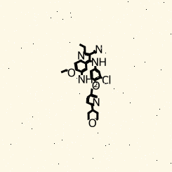 CCOc1cc2nc(CC)c(C#N)c(Nc3ccc(OCc4ccc(C5CCOCC5)nc4)c(Cl)c3)c2cc1N